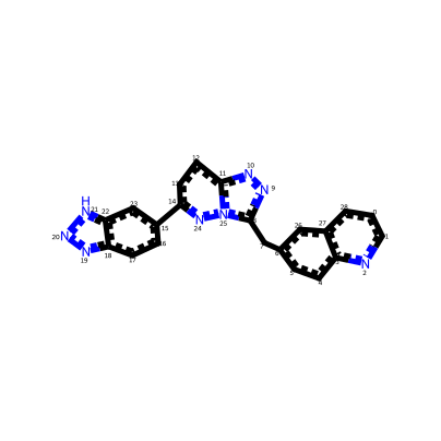 c1cnc2ccc(Cc3nnc4ccc(-c5ccc6nn[nH]c6c5)nn34)cc2c1